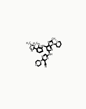 COc1c(Nc2cc(Nc3cnc(N4CCOCC4)c(C#N)n3)nc3c2nc(C)n3C2CCCCO2)cccc1-c1nnn(C)n1